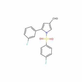 O=Cc1cc(-c2cccc(F)c2)n(S(=O)(=O)c2ccc(F)cc2)c1